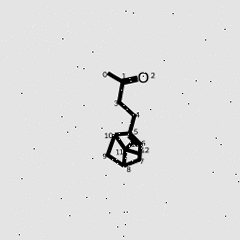 CC(=O)CCC1=CCC2CC1C2(C)C